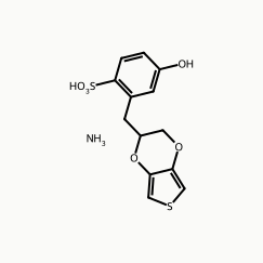 N.O=S(=O)(O)c1ccc(O)cc1CC1COc2cscc2O1